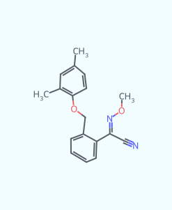 CON=C(C#N)c1ccccc1COc1ccc(C)cc1C